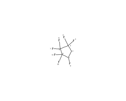 FC1CC(F)(F)C(F)(F)C1(F)F